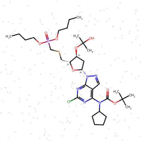 CCCCOP(=O)(CSC[C@H]1O[C@@H](n2ncc3c(N(C(=O)OC(C)(C)C)C4CCCC4)nc(Cl)nc32)C[C@@H]1OC(C)(C)O)OCCCC